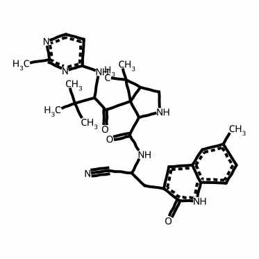 Cc1ccc2[nH]c(=O)c(CC(C#N)NC(=O)C3NCC4C(C)(C)C34C(=O)C(Nc3ccnc(C)n3)C(C)(C)C)cc2c1